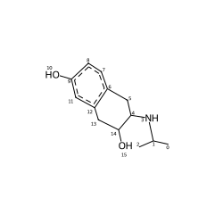 CC(C)NC1Cc2ccc(O)cc2CC1O